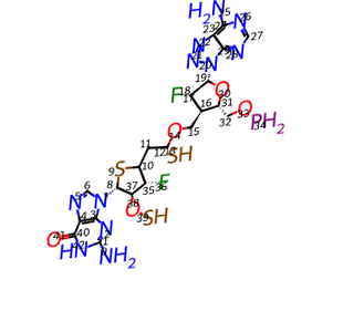 Nc1nc2c(ncn2[C@@H]2SC(CC(S)OC[C@H]3[C@H](F)[C@H](n4nnc5c(N)ncnc54)O[C@@H]3COP)[C@H](F)[C@H]2OS)c(=O)[nH]1